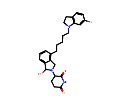 O=C1CCC(N2Cc3c(CCCCCN4CCc5ccc(Br)cc54)cccc3C2O)C(=O)N1